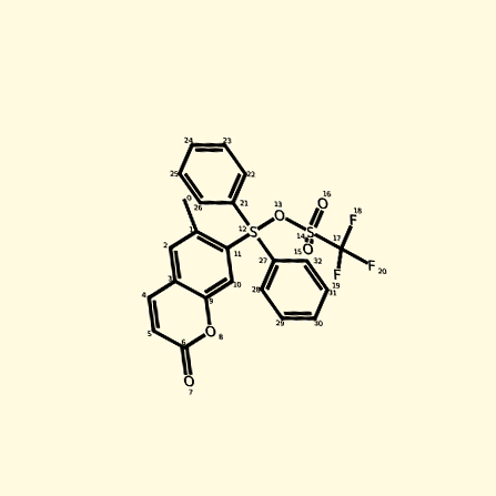 Cc1cc2ccc(=O)oc2cc1S(OS(=O)(=O)C(F)(F)F)(c1ccccc1)c1ccccc1